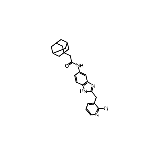 O=C(CC12CC3CC(CC(C3)C1)C2)Nc1ccc2[nH]c(Cc3cccnc3Cl)nc2c1